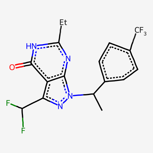 CCc1nc2c(c(C(F)F)nn2C(C)c2ccc(C(F)(F)F)cc2)c(=O)[nH]1